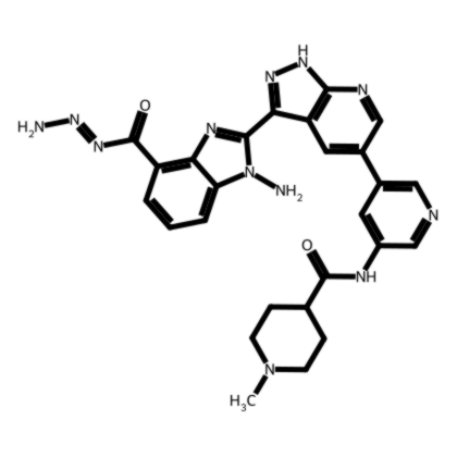 CN1CCC(C(=O)Nc2cncc(-c3cnc4[nH]nc(-c5nc6c(C(=O)N=NN)cccc6n5N)c4c3)c2)CC1